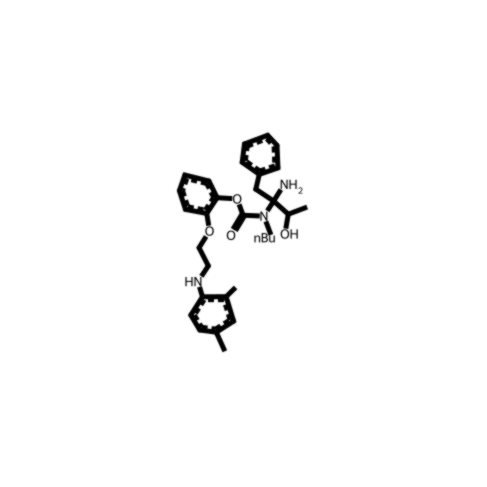 CCCCN(C(=O)Oc1ccccc1OCCNc1ccc(C)cc1C)C(N)(Cc1ccccc1)C(C)O